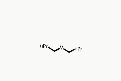 CCC[CH2][V][CH2]CCC